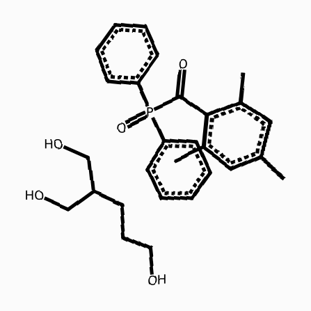 Cc1cc(C)c(C(=O)P(=O)(c2ccccc2)c2ccccc2)c(C)c1.OCCCC(CO)CO